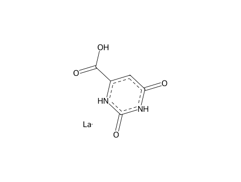 O=C(O)c1cc(=O)[nH]c(=O)[nH]1.[La]